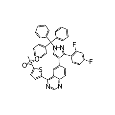 CS(=O)(=O)c1ccc(-c2ncnc3ccc(-c4cn(C(c5ccccc5)(c5ccccc5)c5ccccc5)nc4-c4ccc(F)cc4F)cc23)s1